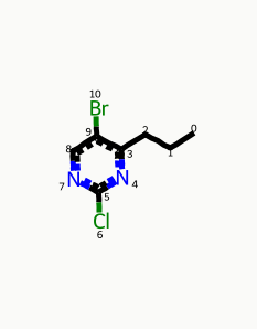 CCCc1nc(Cl)ncc1Br